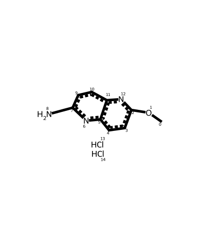 COc1ccc2nc(N)ccc2n1.Cl.Cl